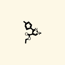 CCOC(=O)c1cn(C)nc1-c1ccc(C)cc1